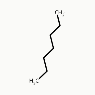 [CH2]CCCCCC